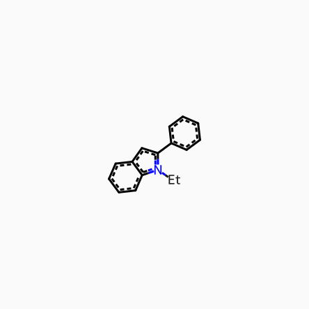 CCn1c(-c2ccccc2)cc2ccccc21